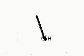 CCCCCCCCCCCCCCCCCCCCCCCCCCCCOC(=O)C1CCCN1